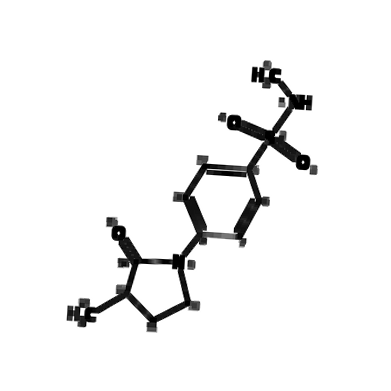 CNS(=O)(=O)c1ccc(N2CCC(C)C2=O)cc1